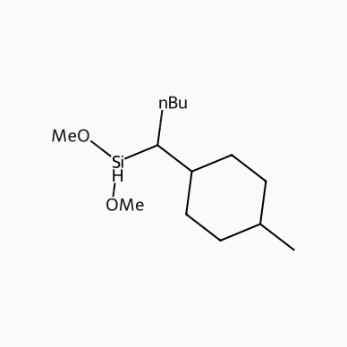 CCCCC(C1CCC(C)CC1)[SiH](OC)OC